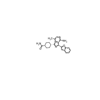 Cc1cnc(N)c2c(-c3cc4ccccc4o3)nc([C@H]3CC[C@H](C(N)=O)CC3)n12